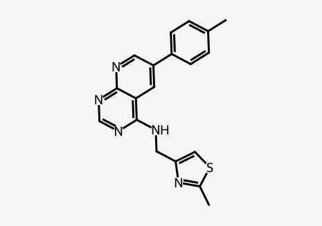 Cc1ccc(-c2cnc3ncnc(NCc4csc(C)n4)c3c2)cc1